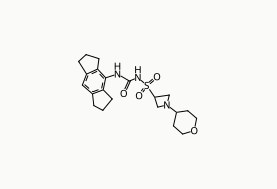 O=C(Nc1c2c(cc3c1CCC3)CCC2)NS(=O)(=O)C1CN(C2CCOCC2)C1